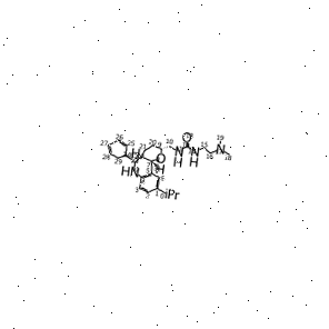 CC(C)c1ccc2c(c1)[C@H]1O[C@@H](CNC(=O)NCCN(C)C)CC[C@H]1[C@H](C1C=CC=CC1)N2